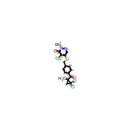 CC(C)(C)n1ncc(SCc2ccc(C(=O)C3(C)CC3(Cl)Cl)cc2)c(Cl)c1=O